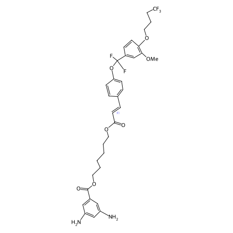 COc1cc(C(F)(F)Oc2ccc(/C=C/C(=O)OCCCCCCOC(=O)c3cc(N)cc(N)c3)cc2)ccc1OCCCC(F)(F)F